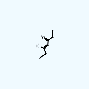 CCC(=O)C=C(O)CC